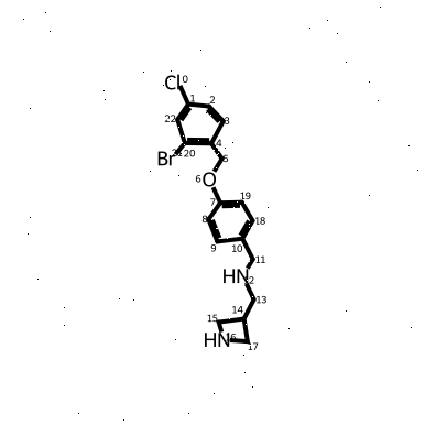 Clc1ccc(COc2ccc(CNCC3CNC3)cc2)c(Br)c1